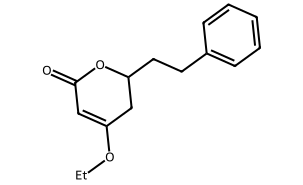 CCOC1=CC(=O)OC(CCc2ccccc2)C1